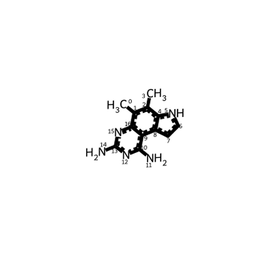 Cc1c(C)c2[nH]ccc2c2c(N)nc(N)nc12